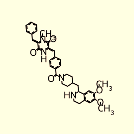 COc1cc2c(cc1OC)C(CC1CCN(C(=O)c3ccc(/C=c4\[nH]c(=O)/c(=C/c5ccccc5)n(C)c4=O)cc3)CC1)NCC2